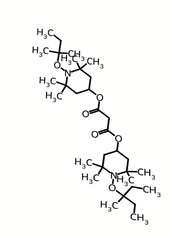 CCC(C)(C)ON1C(C)(C)CC(OC(=O)CC(=O)OC2CC(C)(C)N(OC(C)(CC)CC)C(C)(C)C2)CC1(C)C